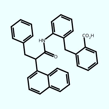 O=C(O)c1ccccc1Cc1ccccc1NC(=O)C(Cc1ccccc1)c1cccc2ccccc12